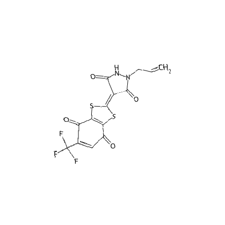 C=CCN1NC(=O)/C(=C2/SC3=C(S2)C(=O)C(C(F)(F)F)=CC3=O)C1=O